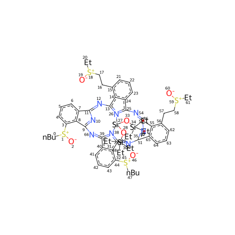 CCCC[S+]([O-])c1cccc2c1C1=NC/2=N\c2c3c(CC[S+]([O-])CC)cccc3c3n2[Si](O[Si](CC)(CC)CC)(O[Si](CC)(CC)CC)n2/c(c4cccc([S+]([O-])CCCC)c4/c2=N/C2=NC(=N\3)/c3c(CC[S+]([O-])CC)cccc32)=N\1